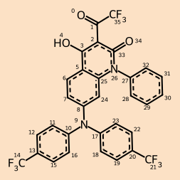 O=C(c1c(O)c2ccc(N(c3ccc(C(F)(F)F)cc3)c3ccc(C(F)(F)F)cc3)cc2n(-c2ccccc2)c1=O)C(F)(F)F